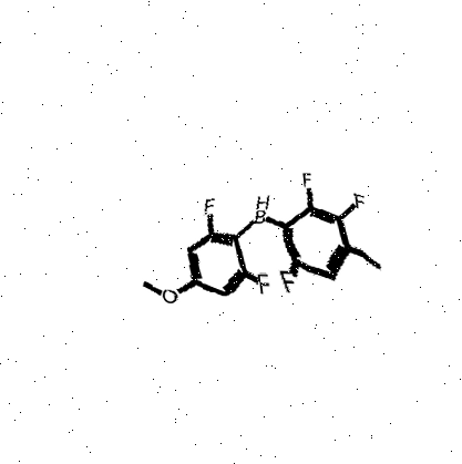 COc1cc(F)c(Bc2c(F)cc(C)c(F)c2F)c(F)c1